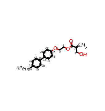 C=C(CO)C(=O)OCCOc1ccc(-c2ccc(CCCCC)cc2)cc1